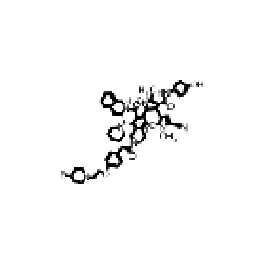 Cc1c(-c2c(C(=O)Nc3ccc(O)cc3)c(C)n(C)c2-c2cc3c(cc2C(=O)N2Cc4ccccc4C[C@H]2CN2CCCCC2)CN(C(=O)Cc2ccc(OCCN4CCC(F)CC4)cc2)CC3)cc(C#N)n1C